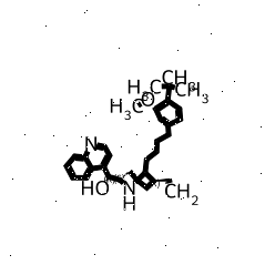 C=C[C@H]1CC2(C[C@@H]([C@H](O)c3ccnc4ccccc34)N2)C1CCCCc1ccc(C(C)(C)C)c(OC)c1